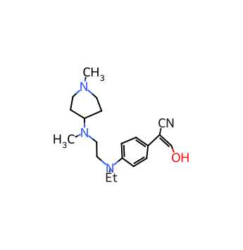 CCN(CCN(C)C1CCN(C)CC1)c1ccc(/C(C#N)=C\O)cc1